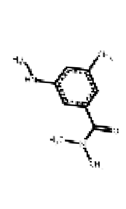 CNc1cc(C)cc(C(=O)N(C)C)c1